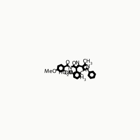 COc1ccc(C(=O)Nc2onc(-c3c(C)nn(-c4ccccc4)c3C)c2-c2ccccc2C(=O)O)c(OC)c1